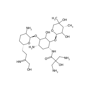 C[C@@H]1C(O)[C@@H](OC2C(O)C(O[C@H]3O[C@H](CCC(=N)CO)CCC3N)[C@@H](N)C[C@H]2NC(=O)C(O)(CN)CN)OCC1(C)O